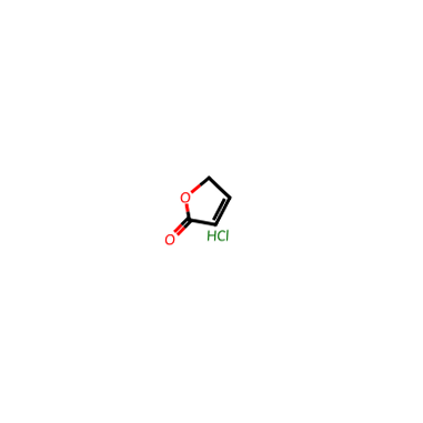 Cl.O=C1C=CCO1